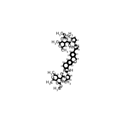 COC(=O)N[C@H](C(=O)N1[C@@H](C)CC[C@H]1c1ncc(-c2ccc3c(c2)COc2cc4c(cc2-3)CCc2nc([C@@H]3CC[C@H](C)N3C(=O)[C@@H](NC(=O)OC)C3C[C@@H](C)O[C@H](C)C3)[nH]c2-4)[nH]1)C1C[C@@H](C)O[C@H](C)C1